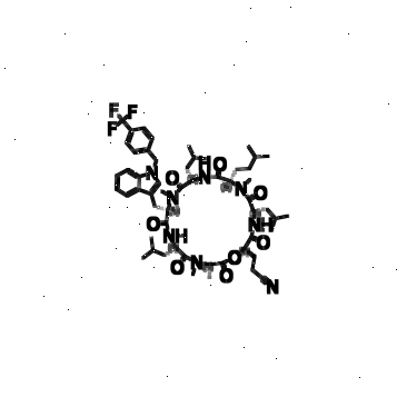 CC(C)CC[C@H]1C(=O)N[C@@H](CC(C)C)C(=O)N(C)[C@@H](Cc2cn(Cc3ccc(C(F)(F)F)cc3)c3ccccc23)C(=O)N[C@@H](CC(C)C)C(=O)N(C)[C@@H](C)C(=O)O[C@H](CCC#N)C(=O)N[C@@H](CC(C)C)C(=O)N1C